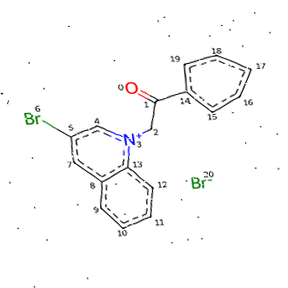 O=C(C[n+]1cc(Br)cc2ccccc21)c1ccccc1.[Br-]